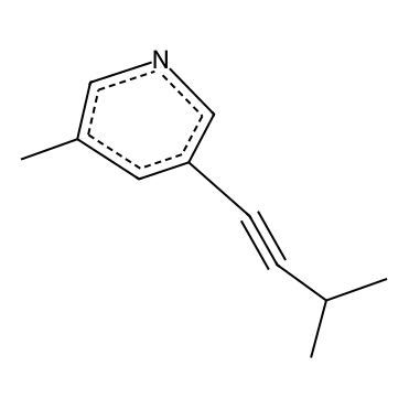 Cc1cncc(C#CC(C)C)c1